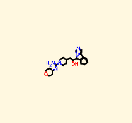 NC(=NC1CCOCC1)N1CCC(CC(O)C2c3ccccc3-c3cncn32)CC1